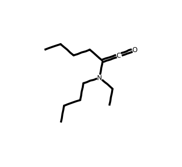 CCCCC(=C=O)N(CC)CCCC